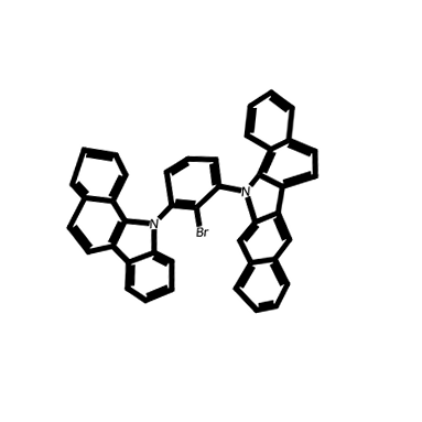 Brc1c(-n2c3ccccc3c3ccc4ccccc4c32)cccc1-n1c2cc3ccccc3cc2c2ccc3ccccc3c21